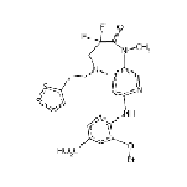 CCOc1cc(C(=O)O)ccc1Nc1ncc2c(n1)N(CCc1cccs1)CC(F)(F)C(=O)N2C